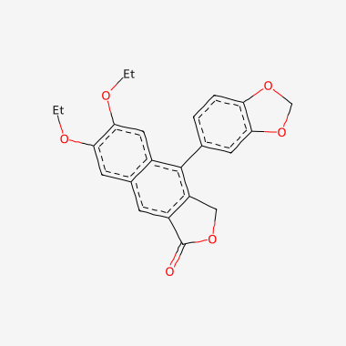 CCOc1cc2cc3c(c(-c4ccc5c(c4)OCO5)c2cc1OCC)COC3=O